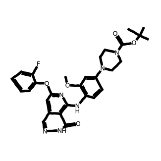 COc1cc(N2CCN(C(=O)OC(C)(C)C)CC2)ccc1Nc1nc(Oc2ccccc2F)cc2cn[nH]c(=O)c12